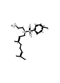 CC(C)=CCCC(C)=CCN(CCN)S(=O)(=O)c1ccc(C)cc1